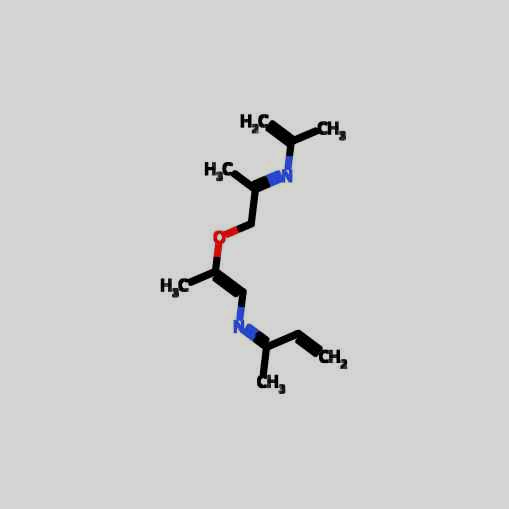 C=C/C(C)=N\C=C(/C)OC/C(C)=N/C(=C)C